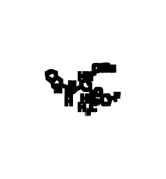 C[C@@H](NC(=O)c1cc(NCOC(C)(C)C)cc(-c2c[nH]c(-c3cc4ccccc4cn3)n2)c1)c1ccc(F)cc1